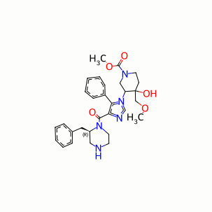 COCC1(O)CCN(C(=O)OC)CC1n1cnc(C(=O)N2CCNC[C@H]2Cc2ccccc2)c1-c1ccccc1